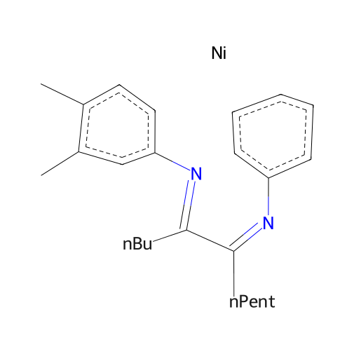 CCCCCC(=Nc1ccccc1)C(CCCC)=Nc1ccc(C)c(C)c1.[Ni]